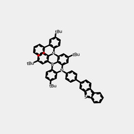 CC(C)(C)c1ccc2c(c1)B1c3ccc(C(C)(C)C)cc3N(c3ccc(-c4ccc5c(c4)sc4ccccc45)cc3)c3cc(C(C)(C)C)cc(c31)N2c1ccc(C(C)(C)C)cc1-c1ccccc1